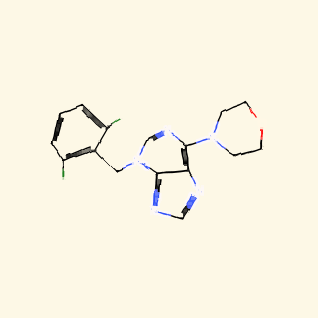 Clc1cccc(Cl)c1Cn1cnc(N2CCOCC2)c2ncnc1-2